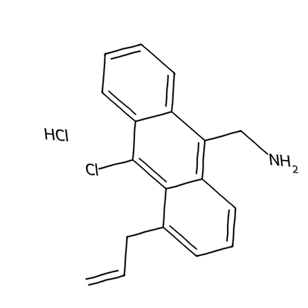 C=CCc1cccc2c(CN)c3ccccc3c(Cl)c12.Cl